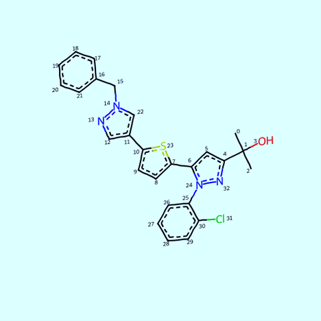 CC(C)(O)c1cc(-c2ccc(-c3cnn(Cc4ccccc4)c3)s2)n(-c2ccccc2Cl)n1